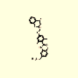 Cc1cc(OC[C@@H]2CN(C)c3ccccc3O2)cc(C)c1C(=O)Nc1cc(CC(=O)O)ccc1F